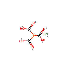 Cl.O=C(O)P(C(=O)O)C(=O)O